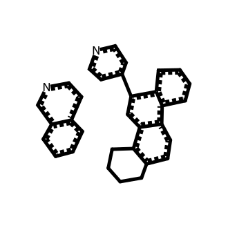 c1ccc2c(c1)c(-c1ccncc1)cc1c3c(ccc12)CCCC3.c1ccc2cnccc2c1